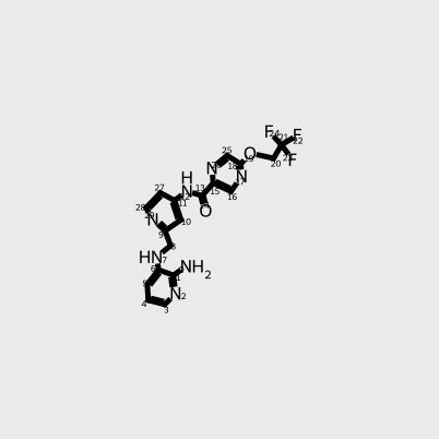 Nc1ncccc1NCc1cc(NC(=O)c2cnc(OCC(F)(F)F)cn2)ccn1